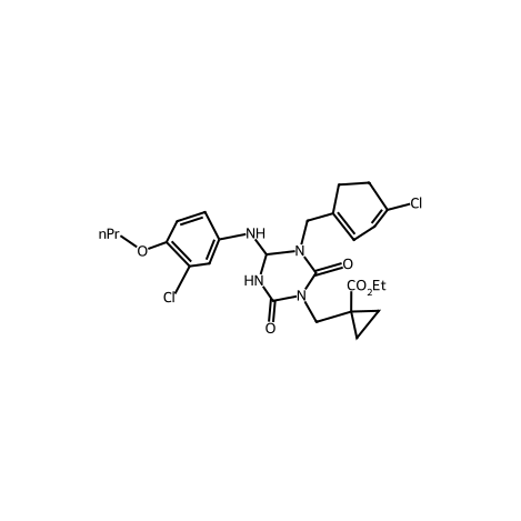 CCCOc1ccc(NC2NC(=O)N(CC3(C(=O)OCC)CC3)C(=O)N2CC2=CC=C(Cl)CC2)cc1Cl